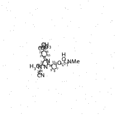 CNCC(O)COc1cccc(-c2nc(-c3ccc(S(C)(=O)=O)cc3)cc(N(C)CCC#N)n2)c1